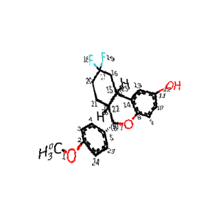 COc1ccc([C@H]2Oc3ccc(O)cc3[C@H]3CC(F)(F)CC[C@H]32)cc1